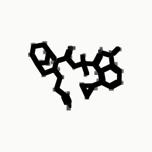 Cn1nc(C(C)(C)CC(=O)N2C(CCC#N)CC3CCCC2C3)c2c(C3CC3)cccc21